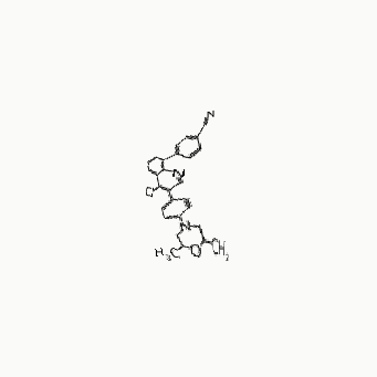 CC1CN(c2ccc(-c3cnc4c(-c5ccc(C#N)cc5)cccc4c3Cl)cc2)CC(C)O1